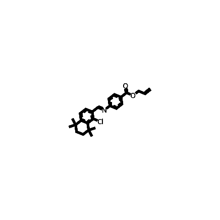 C=CCOC(=O)c1ccc(N=Cc2ccc3c(c2Cl)C(C)(C)CCC3(C)C)cc1